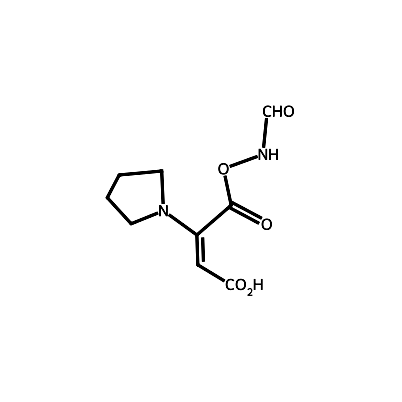 O=CNOC(=O)/C(=C\C(=O)O)N1CCCC1